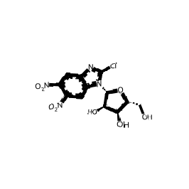 O=[N+]([O-])c1cc2nc(Cl)n([C@@H]3O[C@H](CO)[C@@H](O)[C@H]3O)c2cc1[N+](=O)[O-]